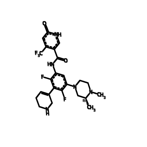 C[C@H]1CN(c2cc(NC(=O)c3c[nH]c(=O)cc3C(F)(F)F)c(F)c(C3=CCCNC3)c2F)CCN1C